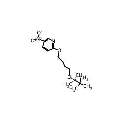 CC(C)(C)[Si](C)(C)OCCCCOc1ccc([N+](=O)[O-])cn1